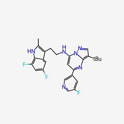 Cc1[nH]c2c(F)cc(F)cc2c1CCNc1cc(-c2cncc(F)c2)nc2c(C(C)(C)C)cnn12